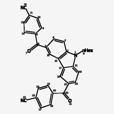 CCCCCCn1c2ccc(C(=O)c3ccc(C#N)cc3)cc2c2cc(C(=O)c3ccc(C#N)cc3)ccc21